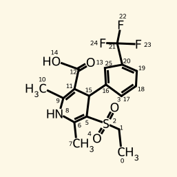 CCS(=O)(=O)C1=C(C)NC(C)=C(C(=O)O)C1c1cccc(C(F)(F)F)c1